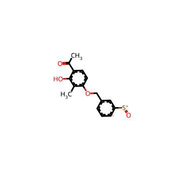 CC(=O)c1ccc(OCc2cc[c]c([S+]=O)c2)c(C)c1O